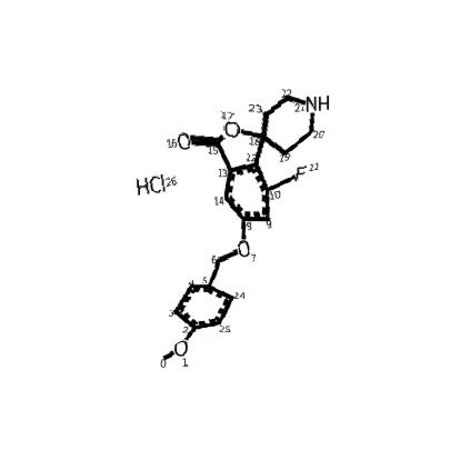 COc1ccc(COc2cc(F)c3c(c2)C(=O)OC32CCNCC2)cc1.Cl